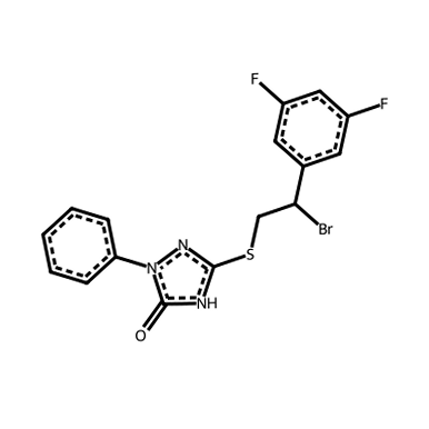 O=c1[nH]c(SCC(Br)c2cc(F)cc(F)c2)nn1-c1ccccc1